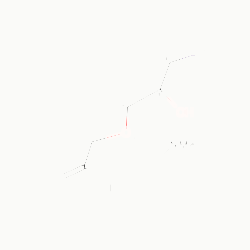 C=C(C)COCC(O)CI.CNC